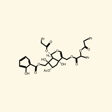 CC(=O)O[C@H]1C[C@]2(O)C(COC(=O)C(OC(=O)CC(C)C)C(C)C)=CO[C@@H](OC(=O)CC(C)C)[C@@H]2[C@@]1(O)COC(=O)c1ccccc1O